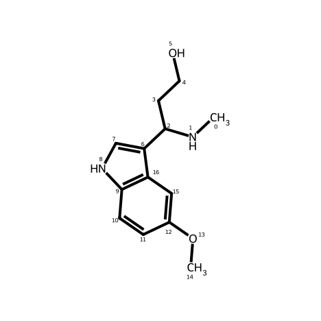 CNC(CCO)c1c[nH]c2ccc(OC)cc12